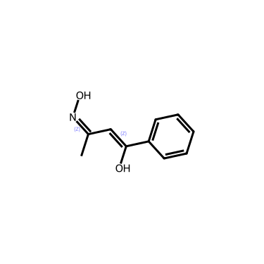 CC(/C=C(\O)c1ccccc1)=N/O